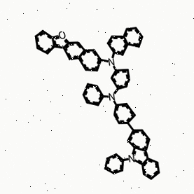 c1ccc(N(c2ccc(-c3ccc4c5ccccc5n(-c5ccccc5)c4c3)cc2)c2cccc(N(c3ccc4ccccc4c3)c3ccc4cc5c(cc4c3)oc3ccccc35)c2)cc1